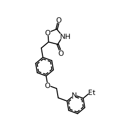 CCc1cccc(CCOc2ccc(CC3OC(=O)NC3=O)cc2)n1